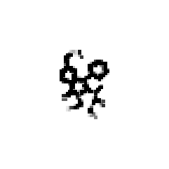 CC(C)Cn1c(N(C)C(=O)OC(C)(C)C)c(-c2ccccc2)c2cc(CN)ccc2c1=O